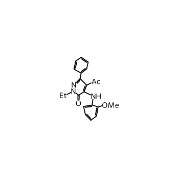 CCn1nc(-c2ccccc2)c(C(C)=O)c(Nc2ccccc2OC)c1=O